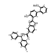 COc1ncccc1-c1ccc(O)c(-c2nc3cc(C(=O)NC(c4ccncc4)c4ccc(F)cc4)ccc3[nH]2)c1